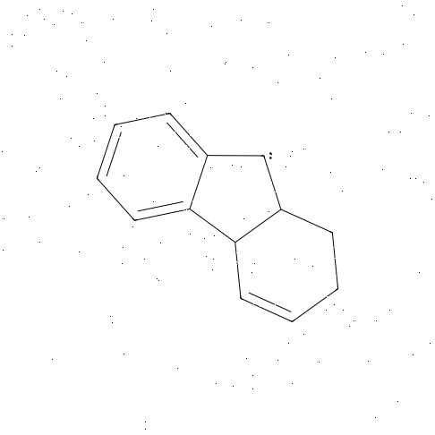 [C]1c2ccccc2C2C=CCCC12